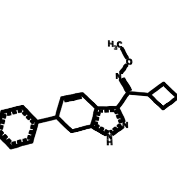 CON=C(c1n[nH]c2c1C=CC(c1ccccc1)C2)C1CCC1